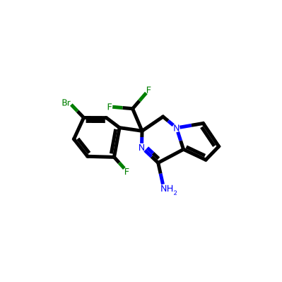 NC1=NC(c2cc(Br)ccc2F)(C(F)F)Cn2cccc21